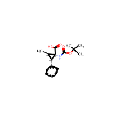 C[C@@H]1[C@@H](c2ccccc2)[C@]1(NC(=O)OC(C)(C)C)C(=O)O